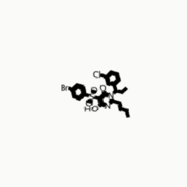 CCCCc1nc(O)c(S(=O)(=O)c2ccc(Br)cc2)c(=O)n1C(CC)c1cccc(Cl)c1